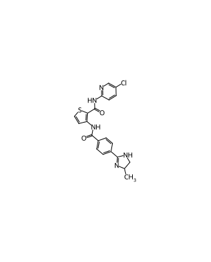 CC1CNC(c2ccc(C(=O)Nc3ccsc3C(=O)Nc3ccc(Cl)cn3)cc2)=N1